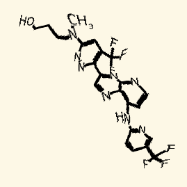 CN(CCCO)c1cc(C(F)(F)F)c(-c2cnc3c(Nc4ccc(C(F)(F)F)cn4)ccnc3n2)nn1